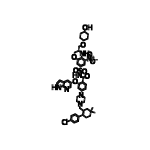 CC1(C)CCC(c2ccc(Cl)cc2)=C(CN2CCN(c3ccc(C(=O)NS(=O)(=O)c4cc5c(c([N+](=O)[O-])c4)N[C@H](CO[C@H]4CC[C@H](O)CC4)CO5)c(Oc4cnc5[nH]ccc5c4)c3)CC2)C1